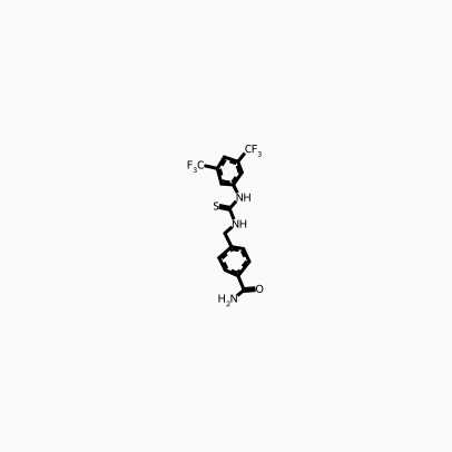 NC(=O)c1ccc(CNC(=S)Nc2cc(C(F)(F)F)cc(C(F)(F)F)c2)cc1